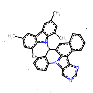 Cc1cc(C)c2c(c1)c1cc(C)cc(C)c1n2B1c2ccccc2-n2c3cncnc3c3c4ccccc4cc1c32